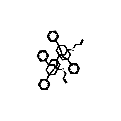 C=CCOC12CC3(c4ccccc4)CC(c4ccccc4)(C1)CC(C14CC5(OCC=C)CC(c6ccccc6)(CC(c6ccccc6)(C5)C1)C4)(C2)C3